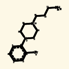 CC(C)c1ccccc1N1CCN(CCCN)CC1